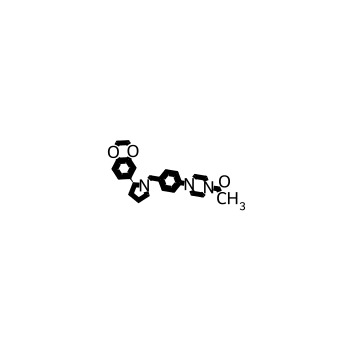 CC(=O)N1CCN(c2ccc(CN3CCC[C@@H]3c3ccc4c(c3)OCCO4)cc2)CC1